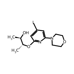 C[C@@H](O)[C@@H](C)Oc1cc(I)cc(N2CCOCC2)n1